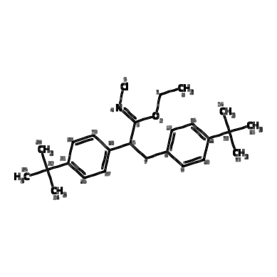 CCO/C(=N\Cl)C(Cc1ccc(C(C)(C)C)cc1)c1ccc(C(C)(C)C)cc1